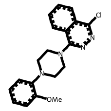 COc1ccccc1N1CCN(c2nnc(Cl)c3ccccc23)CC1